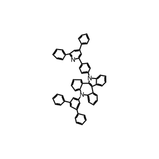 c1ccc(-c2cc(-c3ccccc3)cc(N3c4ccccc4-c4c(n(-c5ccc(-c6cc(-c7ccccc7)cc(-c7ccccc7)n6)cc5)c5ccccc45)-c4ccccc43)c2)cc1